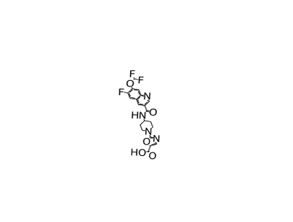 O=C(NC1CCN(c2ncc(C(=O)O)o2)CC1)c1cnc2cc(OC(F)F)c(F)cc2c1